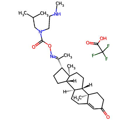 CNCCN(CC(C)C)C(=O)O/N=C(\C)[C@H]1CC[C@H]2[C@@H]3CCC4=CC(=O)CC[C@]4(C)[C@H]3CC[C@]12C.O=C(O)C(F)(F)F